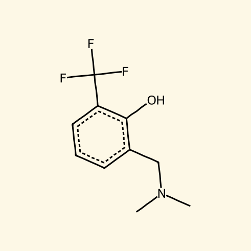 CN(C)Cc1cccc(C(F)(F)F)c1O